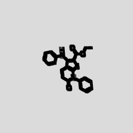 CCOC(=O)c1sc2c(ccc(=O)n2-c2ccccc2)c1Nc1ccccc1